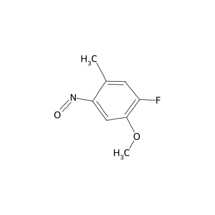 COc1cc(N=O)c(C)cc1F